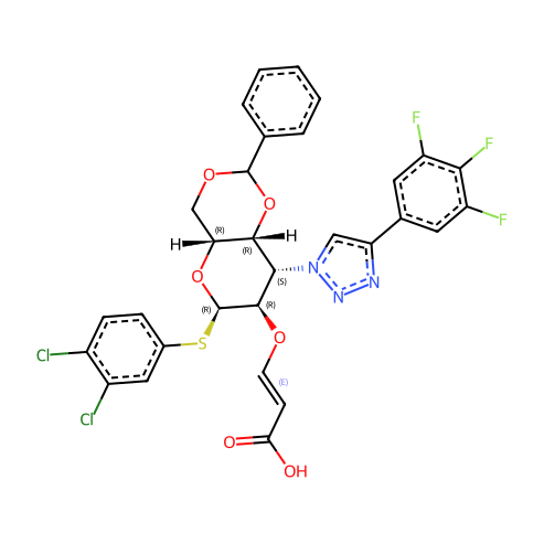 O=C(O)/C=C/O[C@@H]1[C@@H](n2cc(-c3cc(F)c(F)c(F)c3)nn2)[C@H]2OC(c3ccccc3)OC[C@H]2O[C@@H]1Sc1ccc(Cl)c(Cl)c1